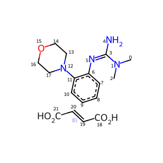 CN(C)C(N)=Nc1ccccc1N1CCOCC1.O=C(O)/C=C/C(=O)O